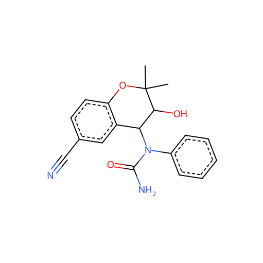 CC1(C)Oc2ccc(C#N)cc2C(N(C(N)=O)c2ccccc2)C1O